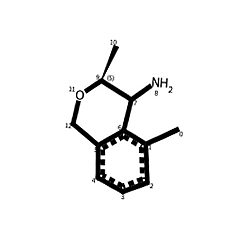 Cc1cccc2c1C(N)[C@H](C)OC2